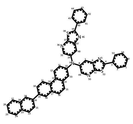 c1ccc(-c2nc3cc(N(c4ccc5c(ccc6cc(-c7ccc8ccccc8c7)ccc65)c4)c4cnc5sc(-c6ccccc6)nc5c4)cnc3s2)cc1